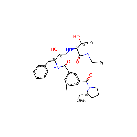 CCC[C@H](O)[C@H](NC[C@@H](O)[C@H](Cc1ccccc1)NC(=O)c1cc(C)cc(C(=O)N2CCC[C@@H]2COC)c1)C(=O)NCC(C)C